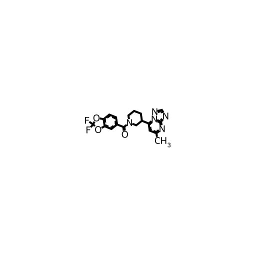 Cc1cc(C2CCCN(C(=O)c3ccc4c(c3)OC(F)(F)O4)C2)n2ncnc2n1